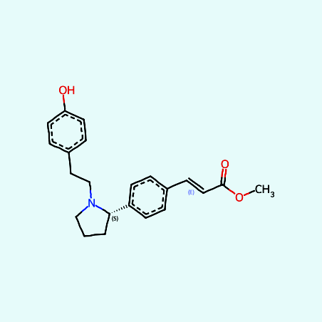 COC(=O)/C=C/c1ccc([C@@H]2CCCN2CCc2ccc(O)cc2)cc1